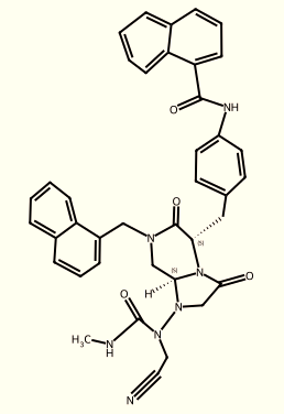 CNC(=O)N(CC#N)N1CC(=O)N2[C@@H](Cc3ccc(NC(=O)c4cccc5ccccc45)cc3)C(=O)N(Cc3cccc4ccccc34)C[C@@H]21